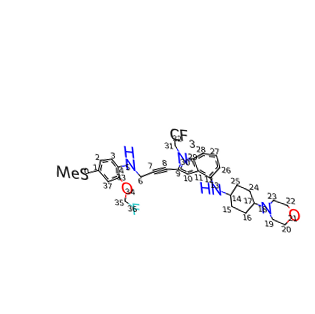 CSc1ccc(NCC#Cc2cc3c(NC4CCC(N5CCOCC5)CC4)cccc3n2CC(F)(F)F)c(OCF)c1